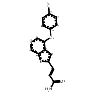 NC(=O)/C=C/c1cc2c(Oc3ccc(Cl)cc3)cncc2s1